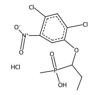 CCC(Oc1cc([N+](=O)[O-])c(Cl)cc1Cl)P(C)(=O)O.Cl